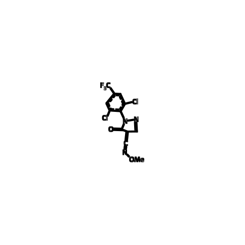 CON=C=C1C=NN(c2c(Cl)cc(C(F)(F)F)cc2Cl)C1=O